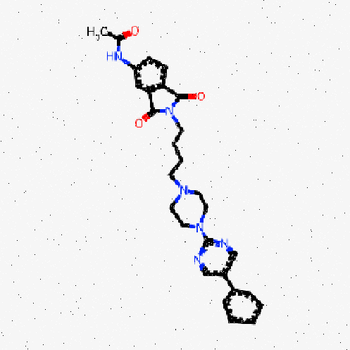 CC(=O)Nc1ccc2c(c1)C(=O)N(CCCCN1CCN(c3ncc(-c4ccccc4)cn3)CC1)C2=O